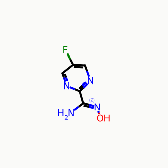 N/C(=N\O)c1ncc(F)cn1